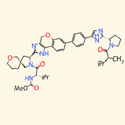 COC(=O)N[C@H](C(=O)N1C[C@]2(CCCOC2)C[C@H]1c1nc2c([nH]1)-c1ccc(-c3ccc(-c4cnc([C@@H]5CCCN5C(=O)[C@@H](C)C(C)C)[nH]4)cc3)cc1OC2)C(C)C